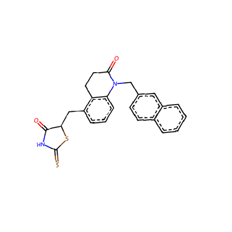 O=C1NC(=S)SC1Cc1cccc2c1CCC(=O)N2Cc1ccc2ccccc2c1